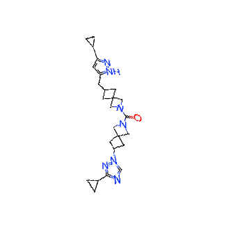 O=C(N1CC2(CC(Cc3cc(C4CC4)n[nH]3)C2)C1)N1CC2(CC(n3cnc(C4CC4)n3)C2)C1